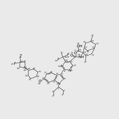 CCC(CC)n1cc(-c2ncc(C(=O)NC3(C(=O)O)C(C)CC4CC(C)CC3C4)c(C(C)(F)F)n2)c2ccc(O[C@H]3CC[C@H](N4CC(F)(F)C4)CC3)cc21